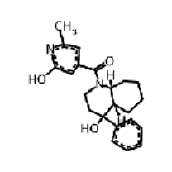 Cc1cc(C(=O)N2CCC(O)(c3ccccc3)[C@H]3CCCC[C@H]32)cc(O)n1